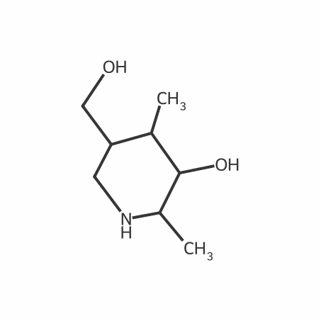 CC1NCC(CO)C(C)C1O